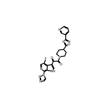 O=C(C(=O)N1CCC(c2nc(-c3cccnc3)no2)CC1)c1c[nH]c2c(-n3ccnn3)ncc(F)c12